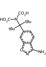 CC(C)(C)C(c1ccc2c(N)noc2c1)(N(C(=O)O)C(=O)O)C(C)(C)C